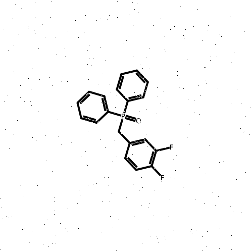 O=P(Cc1ccc(F)c(F)c1)(c1ccccc1)c1ccccc1